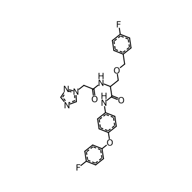 O=C(Cn1cncn1)NC(COCc1ccc(F)cc1)C(=O)Nc1ccc(Oc2ccc(F)cc2)cc1